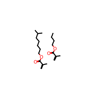 C=C(C)C(=O)OCCCC.C=C(C)C(=O)OCCCCCC(C)C